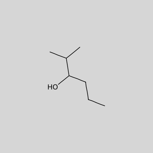 CCCC(O)C(C)C